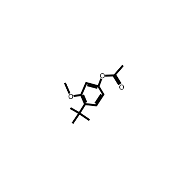 COc1cc(OC(C)=O)ccc1C(C)(C)C